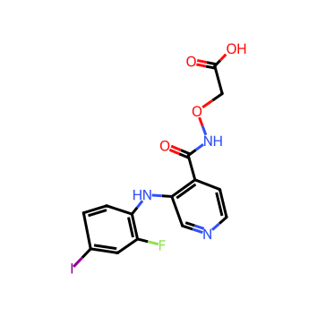 O=C(O)CONC(=O)c1ccncc1Nc1ccc(I)cc1F